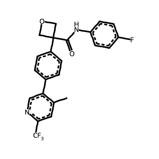 Cc1cc(C(F)(F)F)ncc1-c1ccc(C2(C(=O)Nc3ccc(F)cc3)COC2)cc1